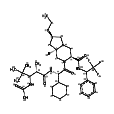 CCO[C@@H]1C[C@@H]2CN(C(=O)[C@@H](NC(=O)[C@@H](C)C(NC(=O)O)C(C)(C)C)C3CCCCC3)[C@H](C(=O)NC(c3ccccc3)C(F)(F)F)CN2C1